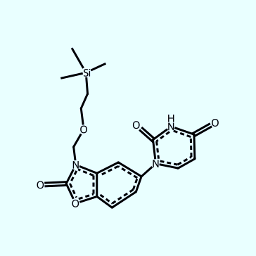 C[Si](C)(C)CCOCn1c(=O)oc2ccc(-n3ccc(=O)[nH]c3=O)cc21